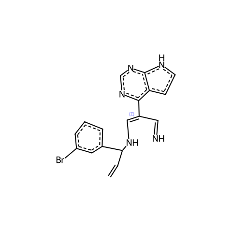 C=CC(N/C=C(\C=N)c1ncnc2[nH]ccc12)c1cccc(Br)c1